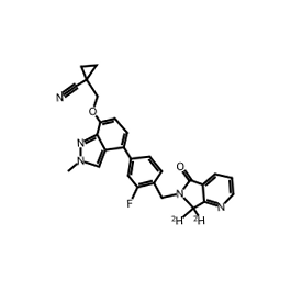 [2H]C1([2H])c2ncccc2C(=O)N1Cc1ccc(-c2ccc(OCC3(C#N)CC3)c3nn(C)cc23)cc1F